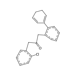 O=C(Cc1ccccc1Cl)Cc1ccccc1C1=CCCC=C1